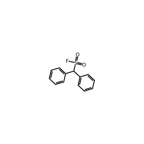 O=S(=O)(F)C(c1ccccc1)c1ccccc1